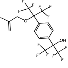 C=C(C)COC(c1ccc(C(O)(C(F)(F)F)C(F)(F)F)cc1)(C(F)(F)F)C(F)(F)F